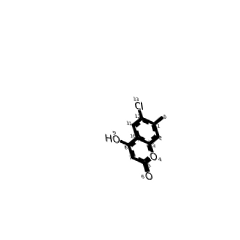 Cc1cc2oc(=O)cc(O)c2cc1Cl